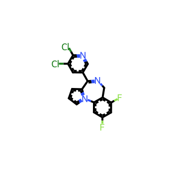 Fc1cc(F)c2c(c1)-n1cccc1C(c1cnc(Cl)c(Cl)c1)=NC2